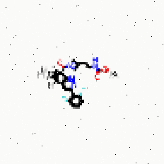 CC(C)(C)OC(=O)NCCC1CN(C(=O)[C@]23CC[C@H](c4cc(-c5c(F)cccc5F)nnc42)C3(C)C)C1